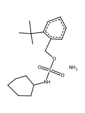 CC(C)(C)c1ccccc1COS(=O)(=O)NC1CCCCC1.N